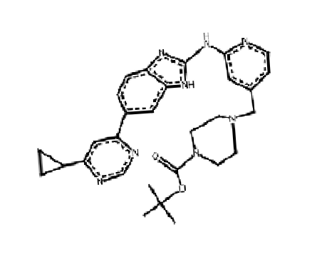 CC(C)(C)OC(=O)N1CCN(Cc2ccnc(Nc3nc4ccc(-c5cc(C6CC6)ncn5)cc4[nH]3)c2)CC1